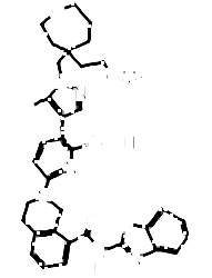 COCCC1(Cn2ncc(-c3ccc(N4CCc5cccc(C(=O)Nc6nc7ccccc7s6)c5C4)nc3C(=O)O)c2C)CCCCCC1